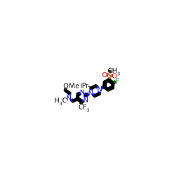 COCCN(C)Cc1cnc(N2CCN(c3ccc(F)c(S(C)(=O)=O)c3)C[C@H]2C(C)C)nc1C(F)(F)F